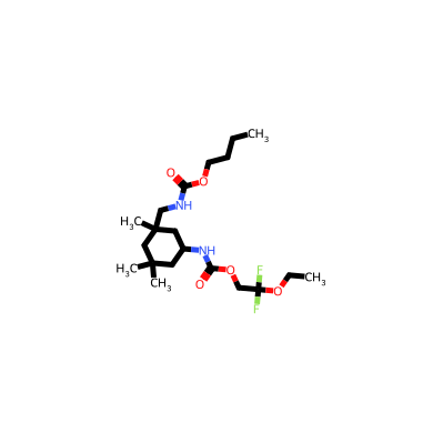 CCCCOC(=O)NCC1(C)CC(NC(=O)OCC(F)(F)OCC)CC(C)(C)C1